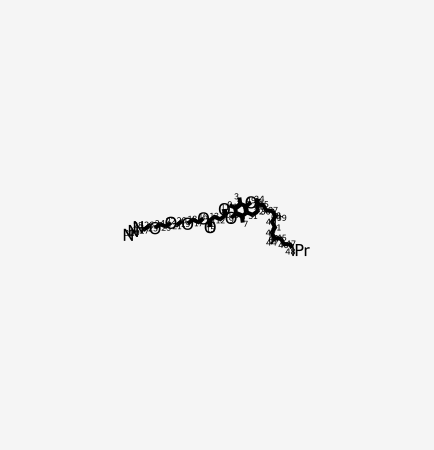 Cc1c(C)c2c(c(C)c1OC(=O)CCC(=O)OCCOCCOCCOCCN=[N+]=[N-])CCC(C)(CCC[C@H](C)CCC[C@H](C)CCCC(C)C)O2